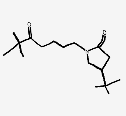 CC(C)(C)C(=O)CCCCN1CC(C(C)(C)C)CC1=O